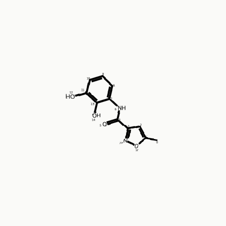 Cc1cc(C(=O)Nc2cccc(O)c2O)no1